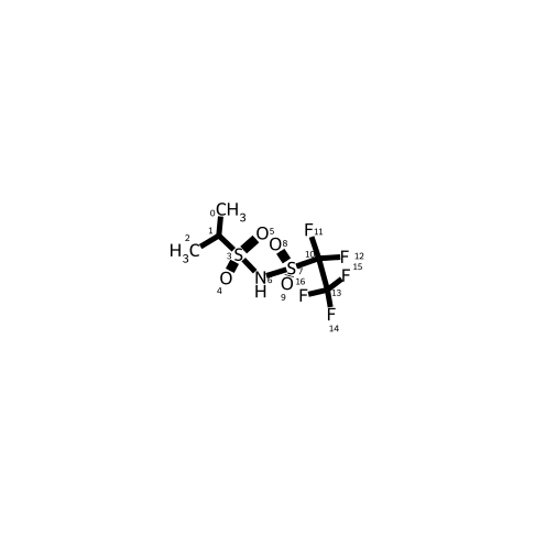 CC(C)S(=O)(=O)NS(=O)(=O)C(F)(F)C(F)(F)F